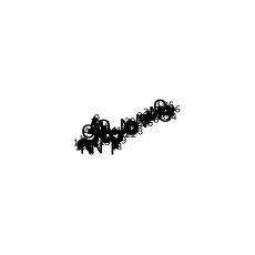 CCOC(=O)C(c1ncn2c1CCC2)N1Cc2c(F)cc(-c3ccc(N4CC5(CN(C(=O)OC(C)(C)C)C5)C4)cn3)cc2C1=O